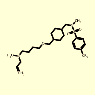 C=CCN(C)CCCCOCC1CCC(CN(C)S(=O)(=O)c2ccc(C(F)(F)F)cc2)CC1